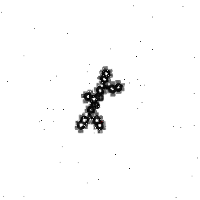 C1=CC2=CC=C(N(c3ccc4ccccc4c3)c3ccc4c(c3)oc3c5oc6cc(N(c7ccc8ccccc8c7)c7ccc8ccccc8c7)ccc6c5c5ccccc5c43)CC2C=C1